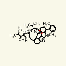 Cc1cccc(C)c1-c1cccc2c1NC1Oc3ccc4cc3C21c1oc(nc1C)[C@H](C(C)C)NC(=O)[C@@H](NC(=O)[C@@H](O)C(C)C)C4